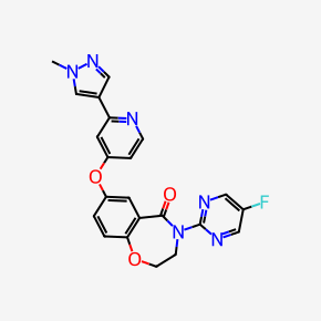 Cn1cc(-c2cc(Oc3ccc4c(c3)C(=O)N(c3ncc(F)cn3)CCO4)ccn2)cn1